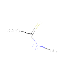 [CH2]OC(=S)NCCC